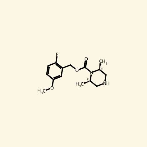 COc1ccc(F)c(COC(=O)N2[C@H](C)CNC[C@@H]2C)c1